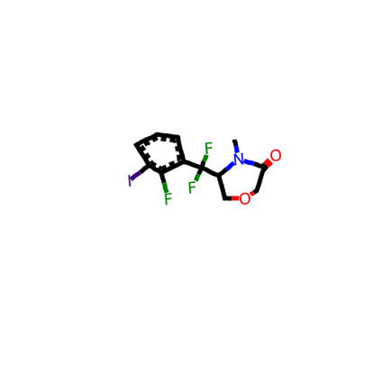 CN1C(=O)COCC1C(F)(F)c1cccc(I)c1F